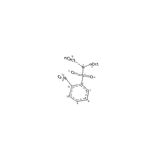 CCCCCCCCN(CCCCCCCC)S(=O)(=O)c1[c]cccc1[N+](=O)[O-]